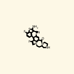 N#Cc1c(N)sc2c(F)ccc(-c3c(F)cc4c5c3c(F)cn5CCC3CNCCN3C4=O)c12